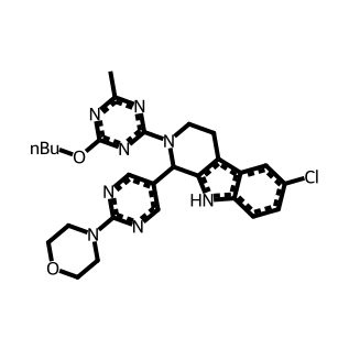 CCCCOc1nc(C)nc(N2CCc3c([nH]c4ccc(Cl)cc34)C2c2cnc(N3CCOCC3)nc2)n1